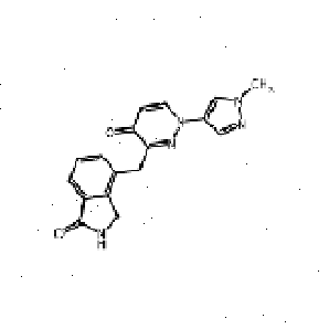 Cn1cc(-n2ccc(=O)c(Cc3cccc4c3CNC4=O)n2)cn1